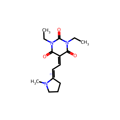 CCN1C(=O)C(=C/C=C2\CCCN2C)C(=O)N(CC)C1=O